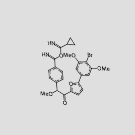 COc1cc(-c2ccc(C(=O)C(OC)c3ccc(C(=N)OC(=N)C4CC4)cc3)o2)cc(OC)c1Br